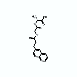 C[C@@H](NC(=O)CNC(=O)COc1ccc2ccccc2c1)C(=O)O